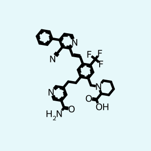 N#Cc1c(-c2ccccc2)ccnc1C=Cc1cc(CCc2cncc(C(N)=O)c2)c(CN2CCCCC2C(=O)O)cc1C(F)(F)F